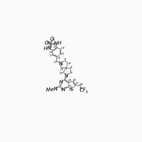 CNc1nc(N2CCC3(CCN(Cc4ccc5c(c4)NS(=O)(=O)N5)C3)C2)c2cc(CC(F)(F)F)sc2n1